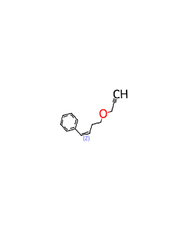 C#CCOCC/C=C\c1ccccc1